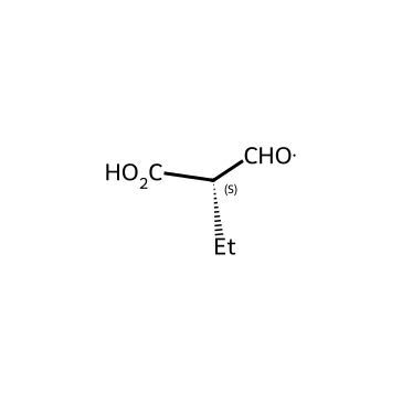 CC[C@@H]([C]=O)C(=O)O